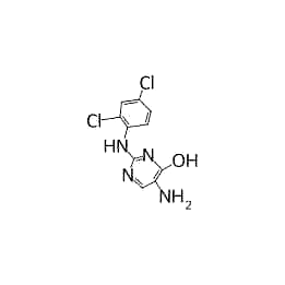 Nc1cnc(Nc2ccc(Cl)cc2Cl)nc1O